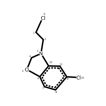 ClCCN1COc2ccc(Cl)cc21